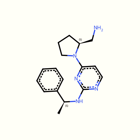 C[C@H](Nc1nccc(N2CCC[C@H]2CN)n1)c1ccccc1